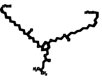 CCCCC/C=C\C/C=C\CCCCCCCC(=O)OCCCOc1cc(COC(=O)CCN(C)C)cc(OCCCOC(=O)CCCCCCC/C=C/C/C=C\CCCCC)c1